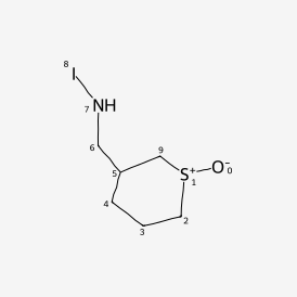 [O-][S+]1CCCC(CNI)C1